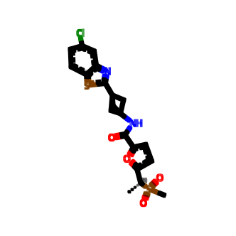 C[C@H](c1ccc(C(=O)NC23CC(c4nc5cc(Cl)ccc5s4)(C2)C3)o1)S(C)(=O)=O